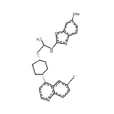 COc1ccc2nc(NC(C)C[C@H]3CC[C@@H](c4ccnc5ccc(F)cc54)CC3)sc2c1